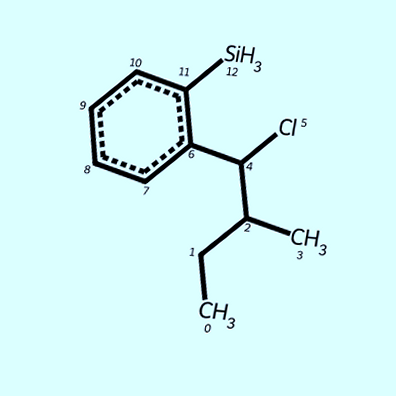 CCC(C)C(Cl)c1ccccc1[SiH3]